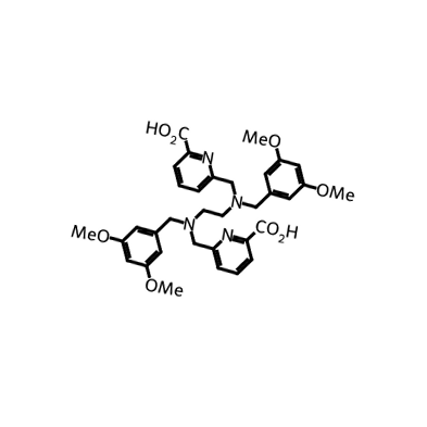 COc1cc(CN(CCN(Cc2cc(OC)cc(OC)c2)Cc2cccc(C(=O)O)n2)Cc2cccc(C(=O)O)n2)cc(OC)c1